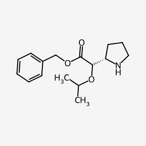 CC(C)OC(C(=O)OCc1ccccc1)[C@@H]1CCCN1